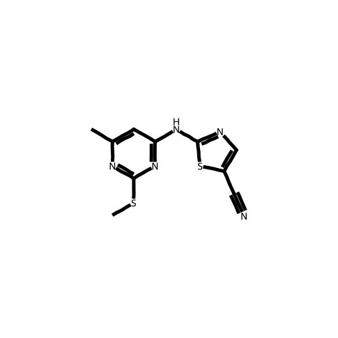 CSc1nc(C)cc(Nc2ncc(C#N)s2)n1